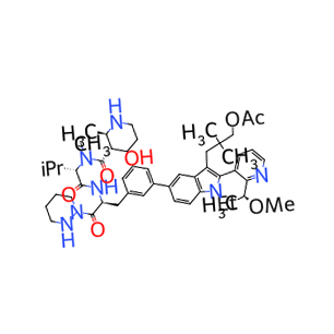 CCn1c(-c2cccnc2[C@H](C)OC)c(CC(C)(C)COC(C)=O)c2cc(-c3cc(O)cc(C[C@H](NC(=O)[C@H](C(C)C)N(C)C(=O)[C@H]4CCCN[C@@H]4C)C(=O)N4CCCCN4)c3)ccc21